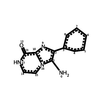 Nc1c(-c2ccccc2)nc2c(=O)[nH]ccn12